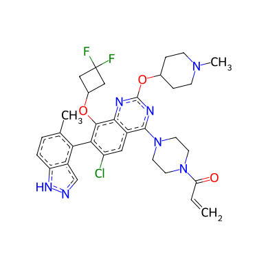 C=CC(=O)N1CCN(c2nc(OC3CCN(C)CC3)nc3c(OC4CC(F)(F)C4)c(-c4c(C)ccc5[nH]ncc45)c(Cl)cc23)CC1